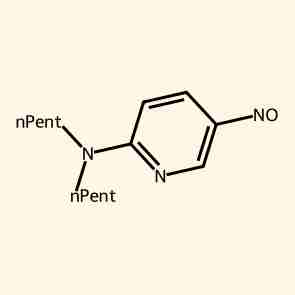 CCCCCN(CCCCC)c1ccc(N=O)cn1